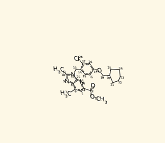 COC(=O)c1cc(C)c2nc(C)n(Cc3ccc(OCC4CCCCC4)cc3Cl)c2n1